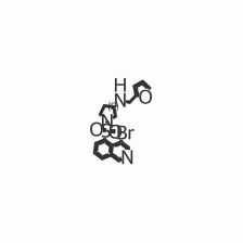 O=S(=O)(c1cccc2cncc(Br)c12)N1CC[C@H](NCc2ccco2)C1